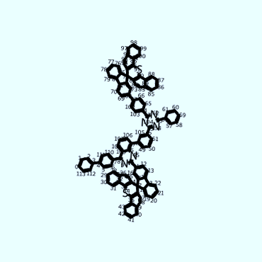 c1ccc(-c2ccc(-c3nc(-c4ccc5c(c4)C4(c6ccccc6-5)c5ccc6ccccc6c5Sc5c4ccc4ccccc54)nc4c(-c5cccc(-c6nc(-c7ccccc7)nc(-c7ccc(-c8ccc9c(c8)C8(c%10ccccc%10-9)c9ccc%10ccccc%10c9Sc9c8ccc8ccccc98)cc7)n6)c5)cccc34)cc2)cc1